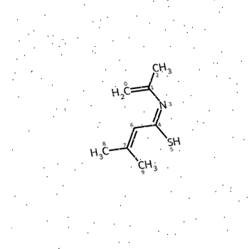 C=C(C)/N=C(/S)C=C(C)C